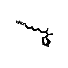 CCCCCCCCCCCCCCC(C)C(C)n1ccnc1